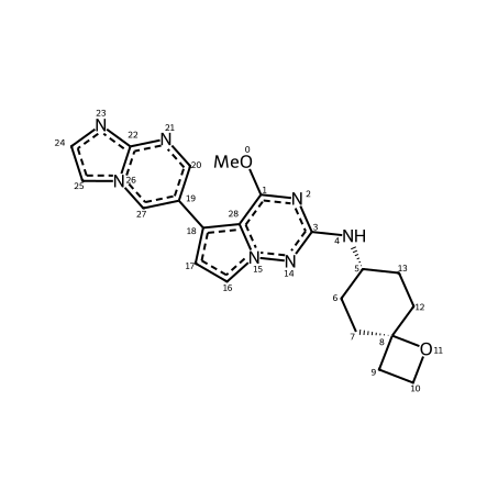 COc1nc(N[C@H]2CC[C@]3(CCO3)CC2)nn2ccc(-c3cnc4nccn4c3)c12